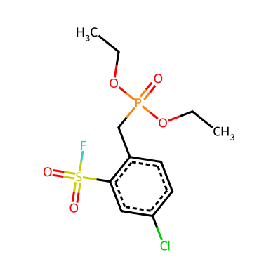 CCOP(=O)(Cc1ccc(Cl)cc1S(=O)(=O)F)OCC